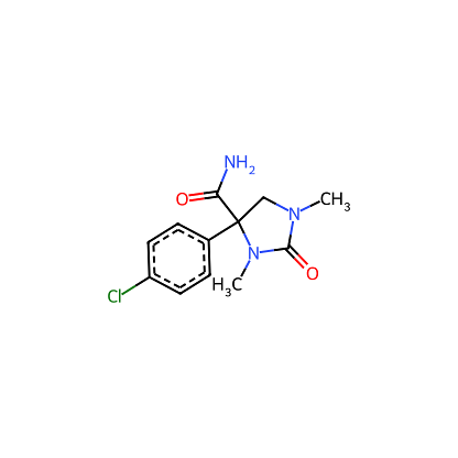 CN1CC(C(N)=O)(c2ccc(Cl)cc2)N(C)C1=O